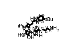 CC(C)N(C[C@H]1O[C@@H](n2cnc3c(NCCCCN)ncnc32)[C@H](O)[C@@H]1O)C1CC(CCc2nc3cc(C(C)(C)C)ccc3[nH]2)C1